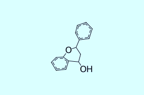 OC1CC(c2ccccc2)Oc2ccccc21